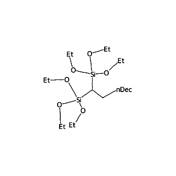 CCCCCCCCCCCC([Si](OCC)(OCC)OCC)[Si](OCC)(OCC)OCC